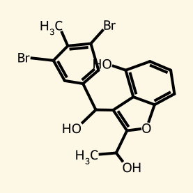 Cc1c(Br)cc(C(O)c2c(C(C)O)oc3cccc(O)c23)cc1Br